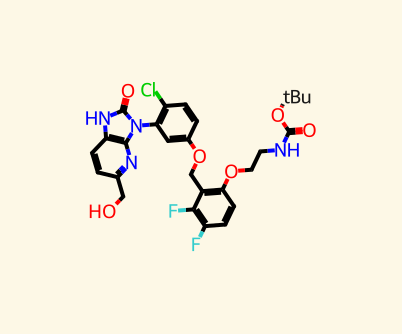 CC(C)(C)OC(=O)NCCOc1ccc(F)c(F)c1COc1ccc(Cl)c(-n2c(=O)[nH]c3ccc(CO)nc32)c1